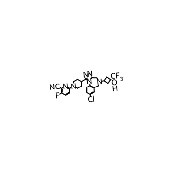 N#Cc1nc(N2CCC(c3nnc4n3-c3ccc(Cl)cc3CN(C3CC(O)(C(F)(F)F)C3)C4)CC2)ccc1F